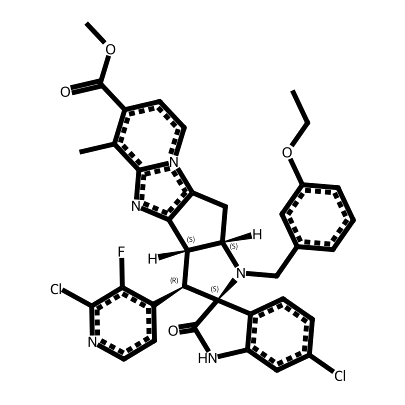 CCOc1cccc(CN2[C@H]3Cc4c(nc5c(C)c(C(=O)OC)ccn45)[C@H]3[C@H](c3ccnc(Cl)c3F)[C@]23C(=O)Nc2cc(Cl)ccc23)c1